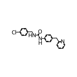 O=C(NCc1ccc(Cl)cc1)Nc1ccc(Cc2ccccn2)cc1